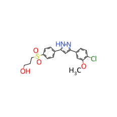 COc1cc(-c2cc(-c3ccc(S(=O)(=O)CCCO)cc3)[nH]n2)ccc1Cl